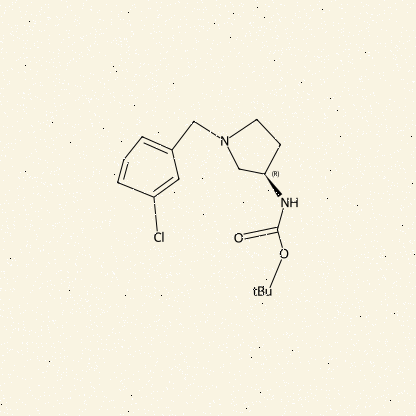 CC(C)(C)OC(=O)N[C@@H]1CCN(Cc2cccc(Cl)c2)C1